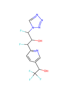 OC(C(F)c1ccc(C(O)C(F)(F)F)cn1)C(F)n1cnnn1